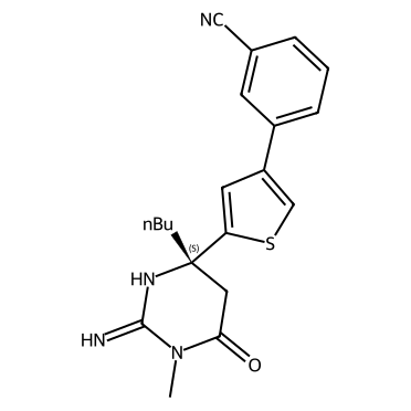 CCCC[C@@]1(c2cc(-c3cccc(C#N)c3)cs2)CC(=O)N(C)C(=N)N1